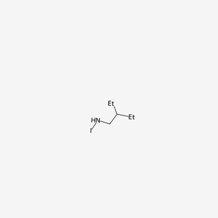 CCC(CC)CNI